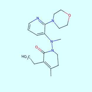 CC1=C(CC(=O)O)C(=O)N(N(C)c2cccnc2N2CCOCC2)CC1